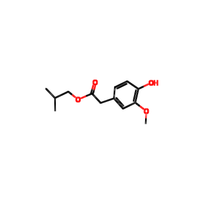 COc1cc(CC(=O)OCC(C)C)ccc1O